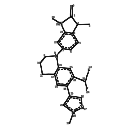 C=C1C(C)c2ccc(N3CCCc4cc(-c5cnn(C)c5)c(C(F)F)cc43)cc2N1C